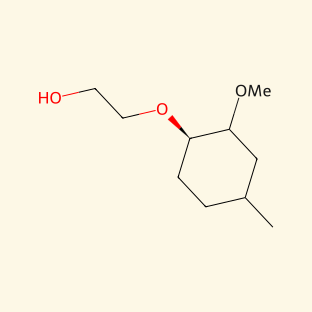 COC1CC(C)CC[C@H]1OCCO